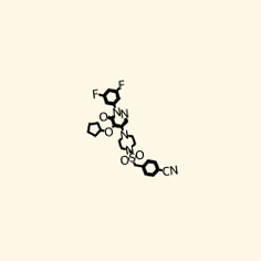 N#Cc1ccc(CS(=O)(=O)N2CCN(c3cnn(-c4cc(F)cc(F)c4)c(=O)c3OC3CCCC3)CC2)cc1